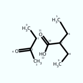 CCC(C)=O.CCC(CC)C(=O)O